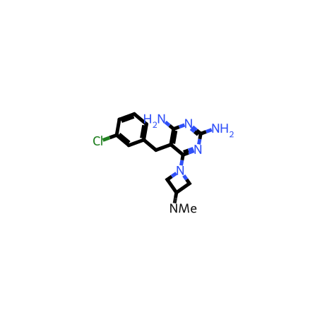 CNC1CN(c2nc(N)nc(N)c2Cc2cccc(Cl)c2)C1